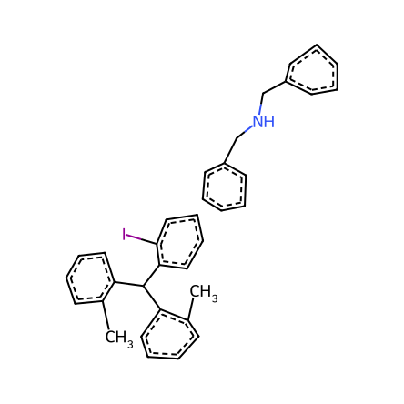 Cc1ccccc1C(c1ccccc1C)c1ccccc1I.c1ccc(CNCc2ccccc2)cc1